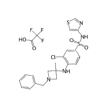 CC1(Nc2ccc(S(=O)(=O)Nc3cscn3)cc2Cl)CN(Cc2ccccc2)C1.O=C(O)C(F)(F)F